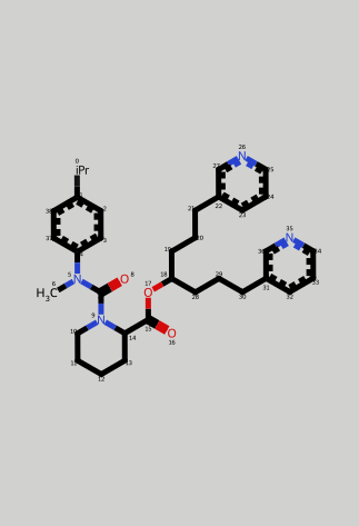 CC(C)c1ccc(N(C)C(=O)N2CCCCC2C(=O)OC(CCCc2cccnc2)CCCc2cccnc2)cc1